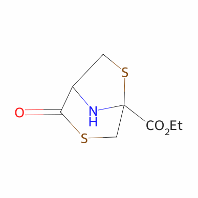 CCOC(=O)C12CSC(=O)C(CS1)N2